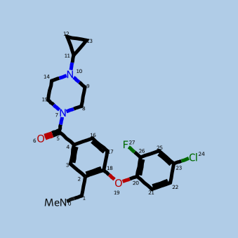 CNCc1cc(C(=O)N2CCN(C3CC3)CC2)ccc1Oc1ccc(Cl)cc1F